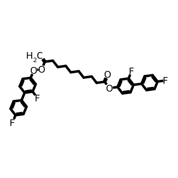 C=C(CCCCCCCCC(=O)Oc1ccc(-c2ccc(F)cc2)c(F)c1)OOc1ccc(-c2ccc(F)cc2)c(F)c1